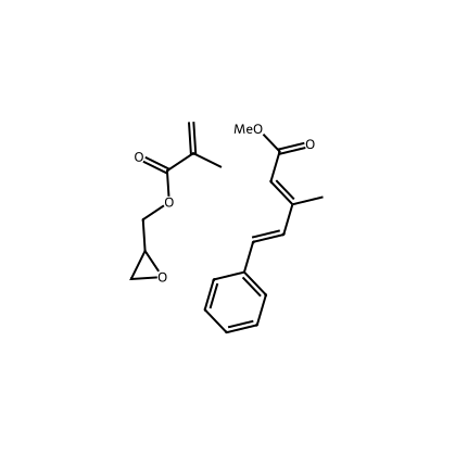 C=C(C)C(=O)OCC1CO1.COC(=O)C=C(C)C=Cc1ccccc1